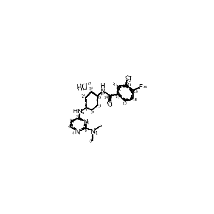 CN(C)c1nccc(NC2CCC(NC(=O)c3ccc(F)c(Cl)c3)CC2)n1.Cl